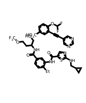 CCc1ccc(C(=O)NC(CO)CCOC(F)(F)F)cc1NC(=O)c1cnc(NCC2CC2)s1.O=C(O)c1ccc(OC(F)F)c(C#Cc2cncnc2)c1